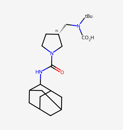 CC(C)(C)N(C[C@H]1CCN(C(=O)NC2C3CC4CC(C3)CC2C4)C1)C(=O)O